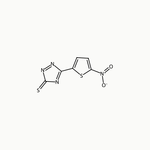 O=[N+]([O-])c1ccc(C2=NC(=S)N=N2)s1